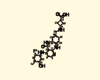 Cc1cc(F)c(Nc2ccnc3c2C(=O)Nc2cc(CNC4CC(C(=O)O)C4)ccc2N3)cc1O